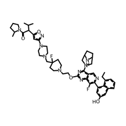 CCc1cccc2cc(O)cc(-c3ncc4c(N5CC6CCC(C5)N6)nc(OCCN5CCC(F)(CN6CCN(c7cc(C(C(=O)N8CCCC8C)C(C)C)on7)CC6)CC5)nc4c3F)c12